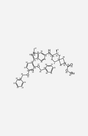 C[C@H]1CC2(CC[C@H]1Nc1ccc3c(-c4ccc(OCc5ccccc5)nc4OCc4ccccc4)nn(C)c3c1)CN(C(=O)OC(C)(C)C)C2